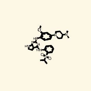 COc1cc(N2CCC(N(C)C)CC2)ccc1Nc1nc(Nc2ccccc2S(=O)(=O)C(C)C)c2cc[nH]c2n1